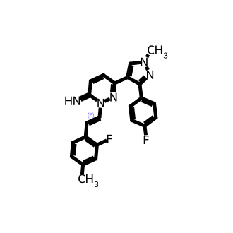 Cc1ccc(/C=C/n2nc(-c3cn(C)nc3-c3ccc(F)cc3)ccc2=N)c(F)c1